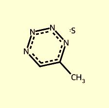 Cc1cnnnn1.[S]